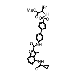 COC(=O)C(NS(=O)(=O)c1ccc(-c2ccc(NC(=O)c3oc4cccc(NC(=O)C5CC5)c4c3C)cc2)cc1)C(C)C